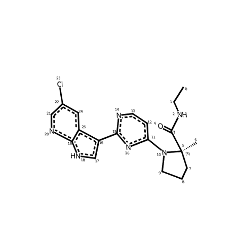 CCNC(=O)[C@@]1(C)CCCN1c1ccnc(-c2c[nH]c3ncc(Cl)cc23)n1